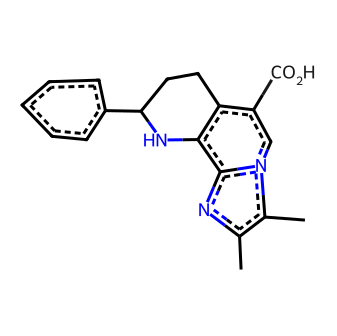 Cc1nc2c3c(c(C(=O)O)cn2c1C)CCC(c1ccccc1)N3